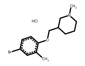 Cc1cc(Br)ccc1OCC1CCCN(C)C1.Cl